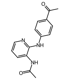 CC(=O)Nc1cccnc1Nc1ccc(C(C)=O)cc1